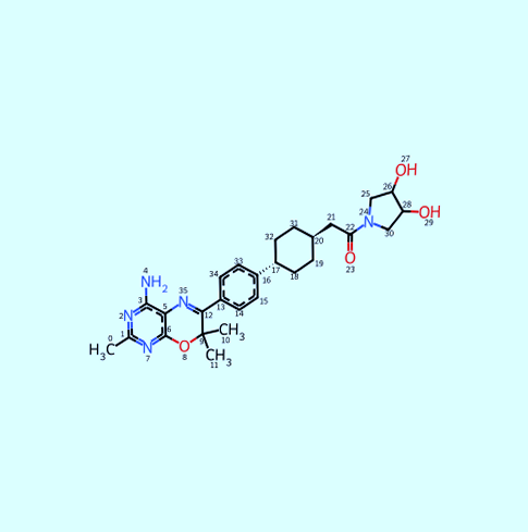 Cc1nc(N)c2c(n1)OC(C)(C)C(c1ccc([C@H]3CC[C@H](CC(=O)N4CC(O)C(O)C4)CC3)cc1)=N2